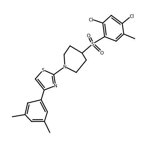 Cc1cc(C)cc(-c2csc(N3CCC(S(=O)(=O)c4cc(C)c(Cl)cc4Cl)CC3)n2)c1